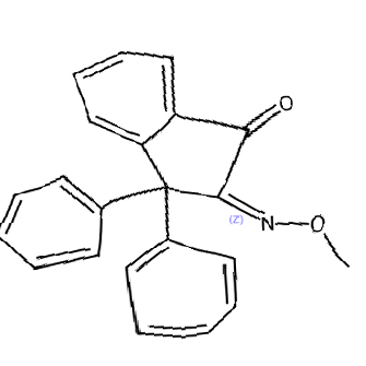 CO/N=C1\C(=O)c2ccccc2C1(c1ccccc1)c1ccccc1